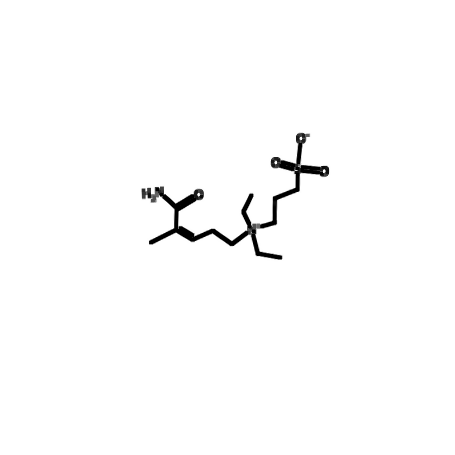 CC[N+](CC)(CCC=C(C)C(N)=O)CCCS(=O)(=O)[O-]